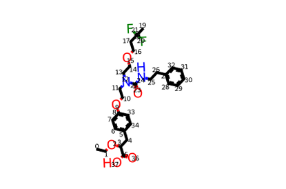 CCOC(Cc1ccc(OCCN(CCOCCC(C)(F)F)C(=O)NCCc2ccccc2)cc1)C(=O)O